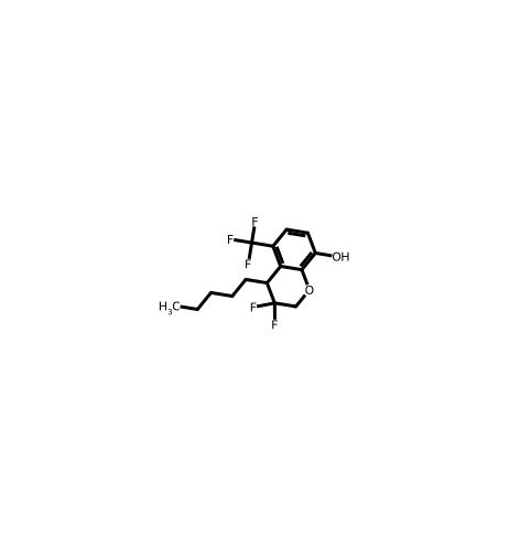 CCCCCC1c2c(C(F)(F)F)ccc(O)c2OCC1(F)F